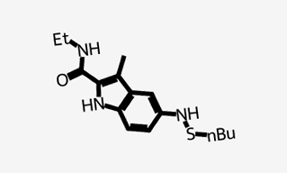 CCCCSNc1ccc2[nH]c(C(=O)NCC)c(C)c2c1